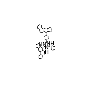 c1ccc(C2NC(c3ccc(-c4c5ccccc5cc5c4ccc4ccccc45)cc3)NC(c3c4ccccc4cc4c3ccc3ccccc34)N2)cc1